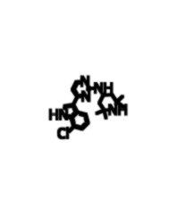 CC1(C)CC(Nc2nccc(-c3c[nH]c4c(Cl)cccc34)n2)CC(C)(C)N1